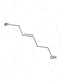 CC(C)CC=CCCO